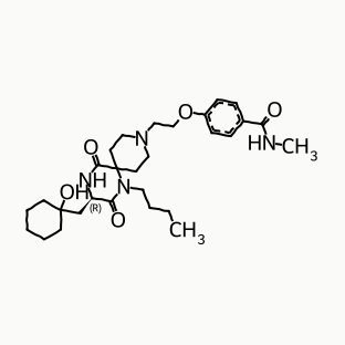 CCCCN1C(=O)[C@@H](CC2(O)CCCCC2)NC(=O)C12CCN(CCOc1ccc(C(=O)NC)cc1)CC2